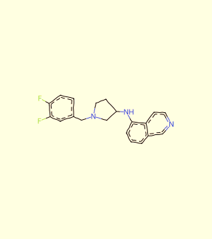 Fc1ccc(CN2CCC(Nc3cccc4cnccc34)C2)cc1F